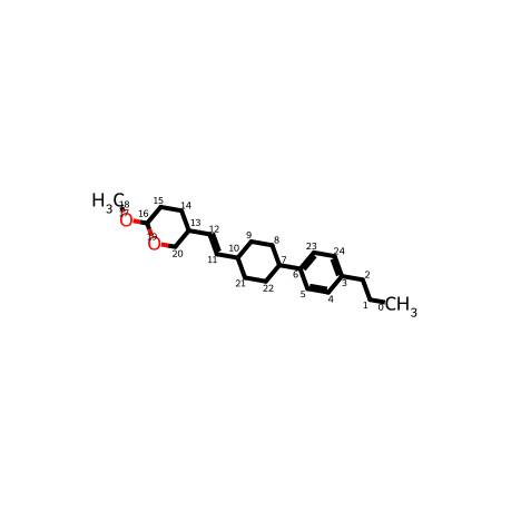 CCCc1ccc(C2CCC(/C=C/C3CCC(OC)OC3)CC2)cc1